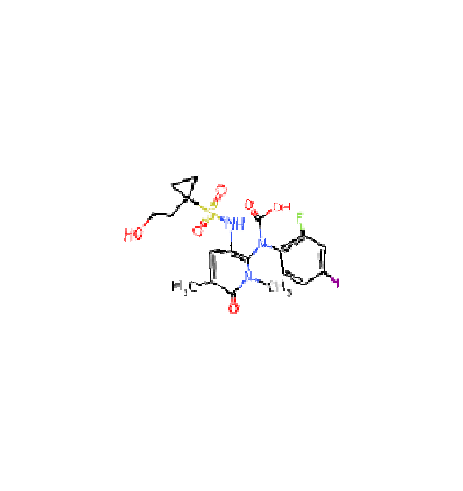 Cc1cc(NS(=O)(=O)C2(CCO)CC2)c(N(C(=O)O)c2ccc(I)cc2F)n(C)c1=O